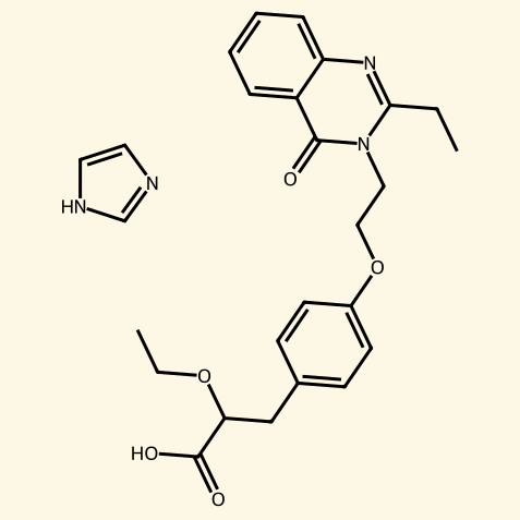 CCOC(Cc1ccc(OCCn2c(CC)nc3ccccc3c2=O)cc1)C(=O)O.c1c[nH]cn1